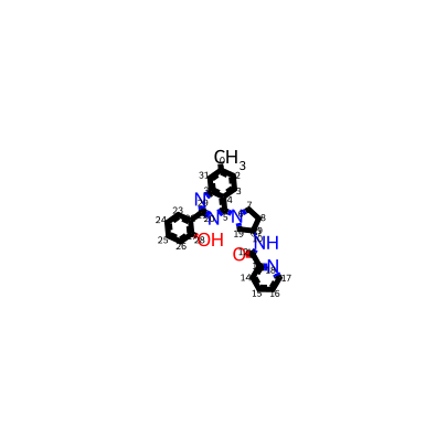 Cc1ccc2c(N3CC[C@@H](NC(=O)c4ccccn4)C3)nc(-c3ccccc3O)nc2c1